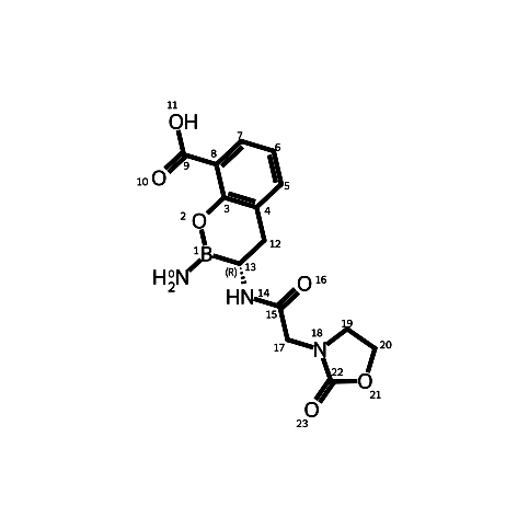 NB1Oc2c(cccc2C(=O)O)C[C@@H]1NC(=O)CN1CCOC1=O